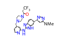 CNc1cc(-c2ccc3nc(Nc4cc(CN5CCN(C(=O)CC(F)(F)F)CC5)ccn4)[nH]c3c2)ncn1